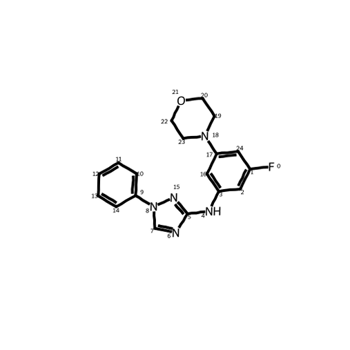 Fc1cc(Nc2ncn(-c3ccccc3)n2)cc(N2CCOCC2)c1